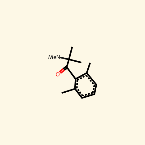 CNC(C)(C)C(=O)c1c(C)cccc1C